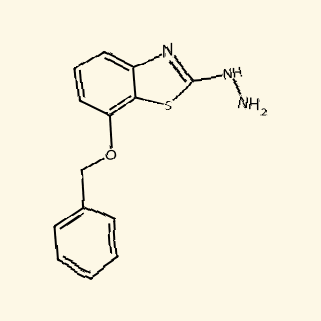 NNc1nc2cccc(OCc3ccccc3)c2s1